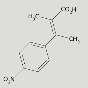 CC(C(=O)O)=C(C)c1ccc([N+](=O)[O-])cc1